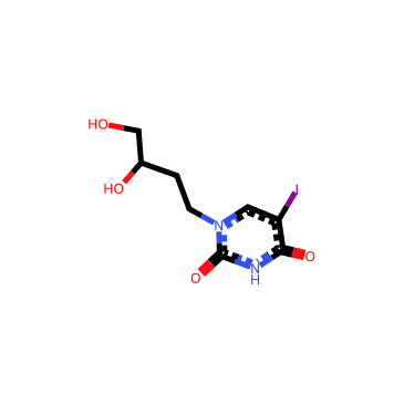 O=c1[nH]c(=O)n(CCC(O)CO)cc1I